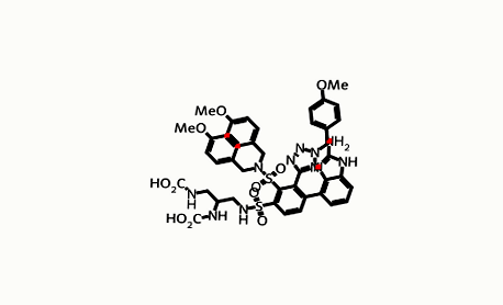 COc1ccc(CN(Cc2ccc(OC)cc2)S(=O)(=O)c2c(S(=O)(=O)NCC(CNC(=O)O)NC(=O)O)ccc(-c3cccc4[nH]c(N)nc34)c2-c2nnn(Cc3ccc(OC)cc3)n2)cc1